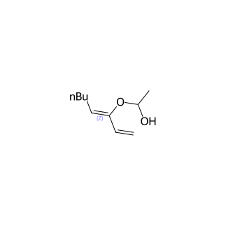 C=C/C(=C/CCCC)OC(C)O